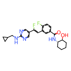 O=C(N[C@H]1CCCC[C@@H]1O)c1ccc(F)c(/C=C(\F)c2cnc(NCC3CC3)nc2)c1